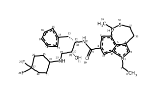 CCn1cc2c3c(cc(C(=O)N[C@@H](Cc4ccccc4)[C@H](O)CNC4CCC(F)(F)CC4)cc31)N(C)SCC2